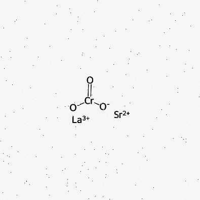 [La+3].[O]=[Cr]([O-])[O-].[Sr+2]